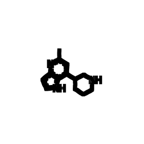 Cc1cc(C2CCCNC2)c2[nH]ccc2n1